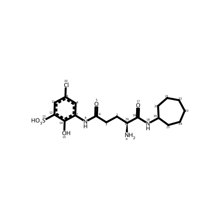 N[C@@H](CCC(=O)Nc1cc(Cl)cc(S(=O)(=O)O)c1O)C(=O)NC1CCCCCC1